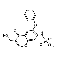 CS(=O)(=O)Nc1cc2occ(CO)c(=O)c2cc1Oc1ccccc1